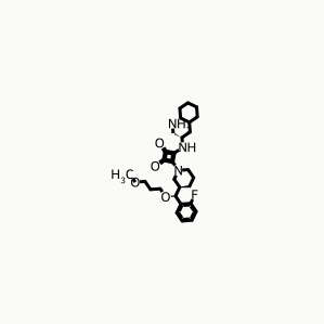 COCCCO[C@@H](c1ccccc1F)[C@@H]1CCCN(c2c(N[C@H](CN)CC3CCCCC3)c(=O)c2=O)C1